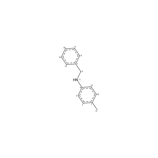 Cc1ccc(NCc2ccccc2)cc1